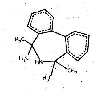 CC1(C)NC(C)(C)c2ccccc2-c2ccccc21